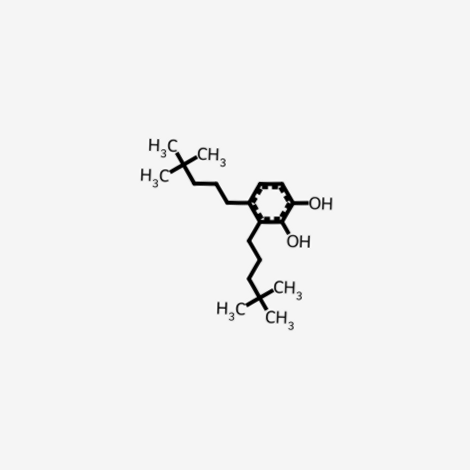 CC(C)(C)CCCc1ccc(O)c(O)c1CCCC(C)(C)C